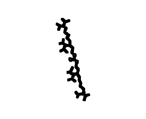 CC(C)N(CCCCCC(CCOC(=O)OCCC(CCCCCN(C(C)C)C(C)C)N(C(C)C)C(C)C)N(C(C)C)C(C)C)C(C)C